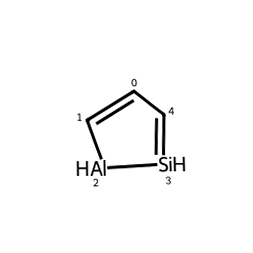 C1=[CH][AlH][SiH]=C1